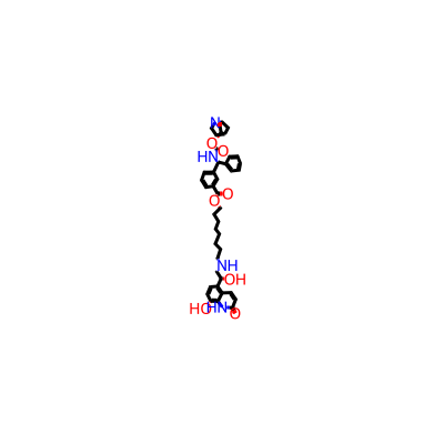 O=C(NC(c1ccccc1)c1cccc(C(=O)OCCCCCCCCNCC(O)c2ccc(O)c3[nH]c(=O)ccc23)c1)OC1CN2CCC1CC2